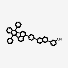 N#Cc1cccc(-c2ccc3cc(-c4ccc(-c5ccc6c7c(cccc57)-c5c-6c(-c6ccccc6)c6ccccc6c5-c5ccccc5)cc4)ccc3c2)c1